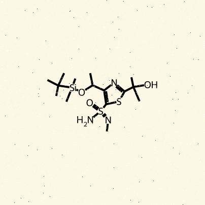 CN=S(N)(=O)c1sc(C(C)(C)O)nc1C(C)O[Si](C)(C)C(C)(C)C